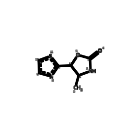 CC1NC(=O)OC1c1nccs1